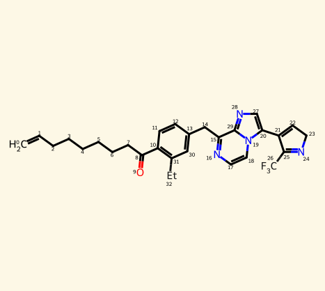 C=CCCCCCCC(=O)c1ccc(Cc2nccn3c(C4=CCN=C4C(F)(F)F)cnc23)cc1CC